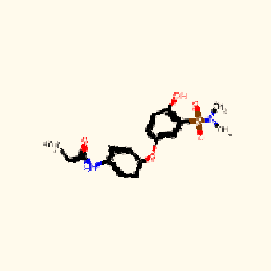 CN(C)S(=O)(=O)c1cc(Oc2ccc(NC(=O)CC(=O)O)cc2)ccc1O